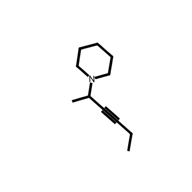 CCC#CC(C)N1CCCCC1